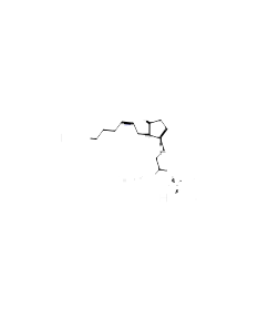 CCCCCC(CCC1=CCC(=O)[C@]1(C)C/C=C\CCCC(=O)O)O[Si](C)(C)C(C)(C)C